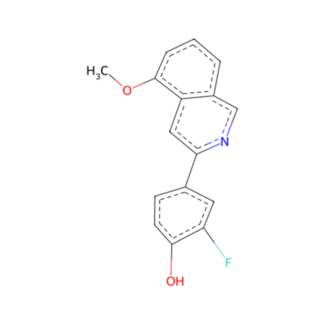 COc1cccc2cnc(-c3ccc(O)c(F)c3)cc12